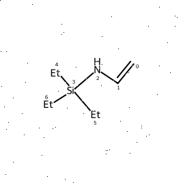 C=CN[Si](CC)(CC)CC